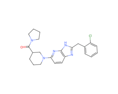 O=C(C1CCCN(c2ccc3nc(Cc4ccccc4Cl)[nH]c3n2)C1)N1CCCC1